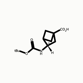 CC(C)(C)OC(=O)N[C@H]1CC2(C(=O)O)CC1C2